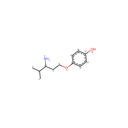 CC(C)C(N)CCOc1ccc(O)cc1